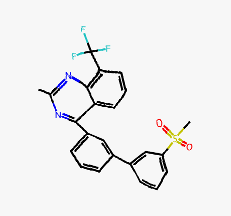 Cc1nc(-c2cccc(-c3cccc(S(C)(=O)=O)c3)c2)c2cccc(C(F)(F)F)c2n1